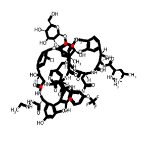 CCNNC(=O)[C@@H]1NC(=O)[C@H]2NC(=O)[C@H](NC(=O)C3NC(=O)[C@H](CC(N)=O)NC(=O)[C@H](NC(=O)[C@@H](CC(C)C)NC)[C@H](O)c4ccc(c(Cl)c4)Oc4cc3cc(c4O[C@@H]3O[C@H](CO)[C@@H](O)[C@H](O)[C@H]3O[C@H]3C[C@](C)(NCc4cncc(C(=O)Nc5cccc(OC(F)(F)F)c5)c4)[C@H](O)[C@H](C)O3)Oc3ccc(cc3Cl)[C@H]2O)c2ccc(O)c(c2)-c2c(O)cc(O)cc21